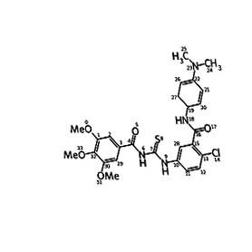 COc1cc(C(=O)NC(=S)Nc2ccc(Cl)c(C(=O)NC3C=CC(N(C)C)=CC3)c2)cc(OC)c1OC